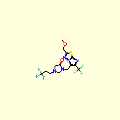 COCc1nn2c(CN3CN(CCC(F)(F)F)CC3=O)c(C(F)(F)F)nc2s1